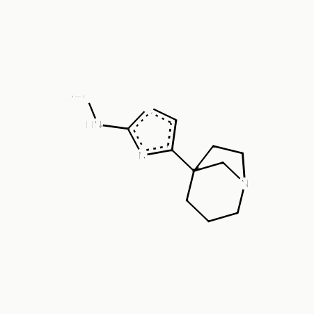 O=CNc1nc(C23CCCN(CC2)C3)cs1